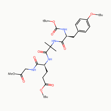 COC(=O)CNC(=O)[C@H](CCC(=O)OC(C)(C)C)NC(=O)C(C)(C)NC(=O)[C@H](Cc1ccc(OC(C)(C)C)cc1)NC(=O)OC(C)(C)C